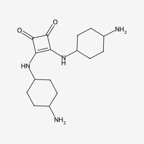 NC1CCC(Nc2c(NC3CCC(N)CC3)c(=O)c2=O)CC1